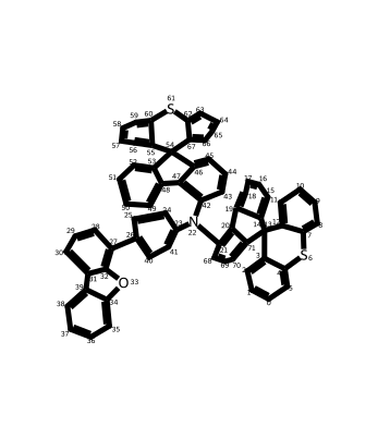 c1ccc2c(c1)Sc1ccccc1C21c2ccccc2-c2c(N(c3ccc(-c4cccc5c4oc4ccccc45)cc3)c3cccc4c3-c3ccccc3C43c4ccccc4Sc4ccccc43)cccc21